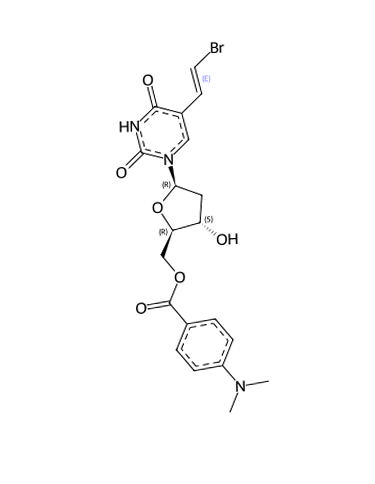 CN(C)c1ccc(C(=O)OC[C@H]2O[C@@H](n3cc(/C=C/Br)c(=O)[nH]c3=O)C[C@@H]2O)cc1